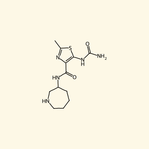 Cc1nc(C(=O)NC2CCCCNC2)c(NC(N)=O)s1